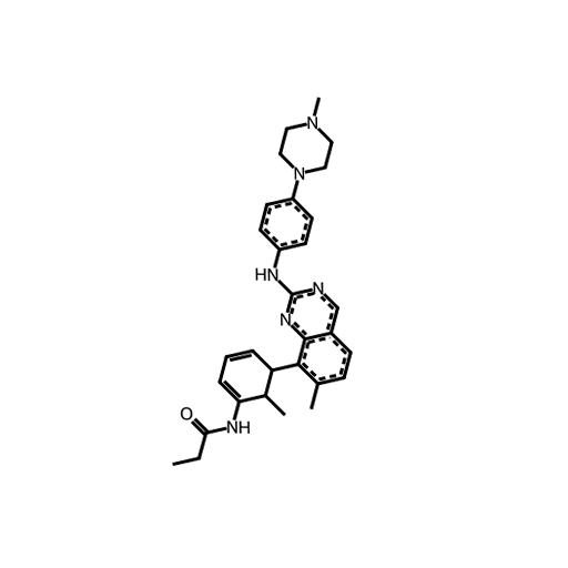 CCC(=O)NC1=CC=CC(c2c(C)ccc3cnc(Nc4ccc(N5CCN(C)CC5)cc4)nc23)C1C